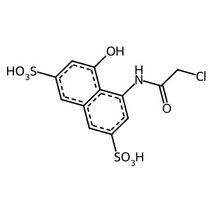 O=C(CCl)Nc1cc(S(=O)(=O)O)cc2cc(S(=O)(=O)O)cc(O)c12